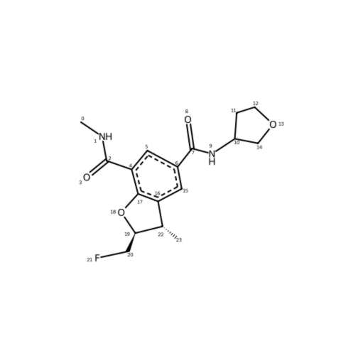 CNC(=O)c1cc(C(=O)NC2CCOC2)cc2c1O[C@H](CF)[C@H]2C